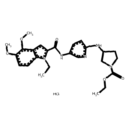 CCOC(=O)N1CCC(Nc2ccc(NC(=O)c3cc4c(OC)c(OC)ccc4n3CC)cn2)C1.Cl